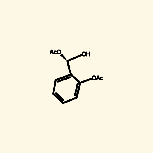 CC(=O)Oc1ccccc1[C@@H](O)OC(C)=O